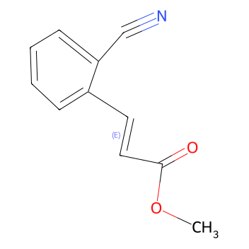 COC(=O)/C=C/c1ccccc1C#N